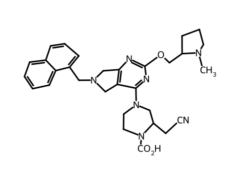 CN1CCCC1COc1nc2c(c(N3CCN(C(=O)O)C(CC#N)C3)n1)CN(Cc1cccc3ccccc13)C2